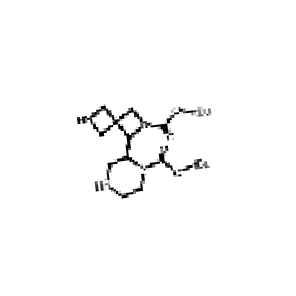 CC(C)(C)OC(=O)N1CCNCC1C1N(C(=O)OC(C)(C)C)CC12CNC2